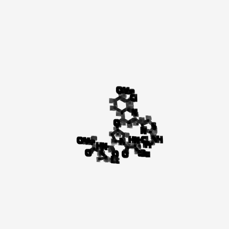 CC[C@@H]1C[C@]1(NC(=O)[C@@H]1C[C@@H](Oc2cc(-c3csc(NC(C)C)n3)nc3c(Cl)c(OC)ccc23)CN1C(=O)[C@@H](NCl)C(C)(C)C)C(=O)OC